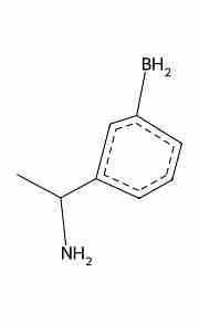 Bc1cccc(C(C)N)c1